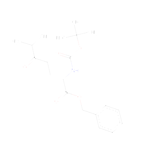 CC(C)C(=O)CC[C@H](NC(=O)OC(C)(C)C)C(=O)OCc1ccccc1